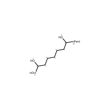 CCCCCCCCC(O)CCCCCC(O)CCCCC